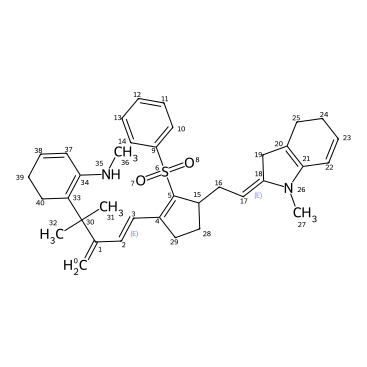 C=C(/C=C/C1=C(S(=O)(=O)c2ccccc2)C(C/C=C2\CC3=C(C=CCC3)N2C)CC1)C(C)(C)C1=C(NC)C=CCC1